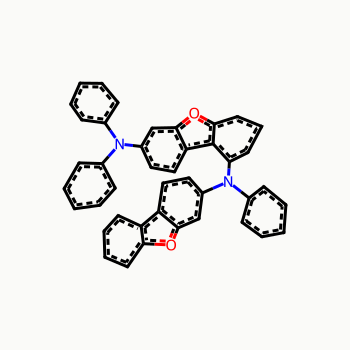 c1ccc(N(c2ccccc2)c2ccc3c(c2)oc2cccc(N(c4ccccc4)c4ccc5c(c4)oc4ccccc45)c23)cc1